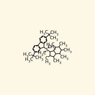 CC1C(C)C(C)C2C(C1C)C(C)C(C)C2S(C)(C)C1c2cc(C(C)(C)C)ccc2-c2ccc(C(C)(C)C)cc21